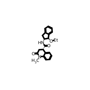 CCO[C@@H]1c2ccccc2C[C@H]1NC(=O)[C@H]1CC(=O)N(C)c2ccccc21